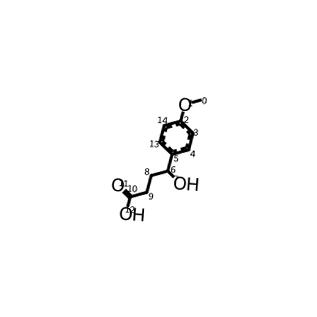 COc1ccc(C(O)CCC(=O)O)cc1